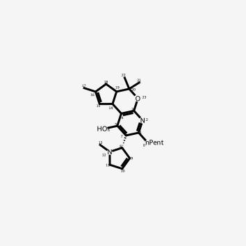 CCCCCc1nc2c(c(O)c1[C@@H]1C=CCN1C)C1C=C(C)CC1C(C)(C)O2